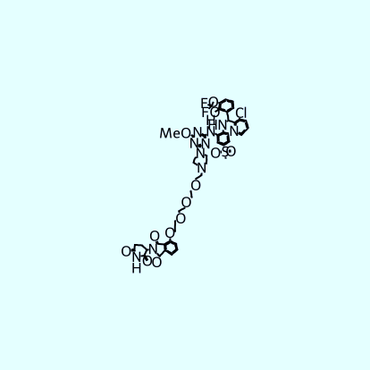 COc1nc(Nc2cc(S(C)(=O)=O)ccc2N[C@@H](c2cccc3c2OC(F)(F)O3)c2ncccc2Cl)nc(N2CCN(CCOCCOCCOCCOc3cccc4c3C(=O)N(C3CCC(=O)NC3=O)C4=O)CC2)n1